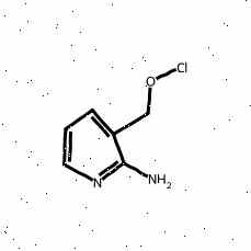 Nc1ncccc1COCl